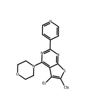 CCc1c(C#N)sc2nc(-c3ccncc3)nc(N3CCOCC3)c12